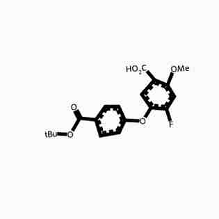 COc1cc(F)c(Oc2ccc(C(=O)OC(C)(C)C)cc2)cc1C(=O)O